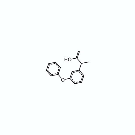 C=C(O)C(C)c1cccc(Oc2ccccc2)c1